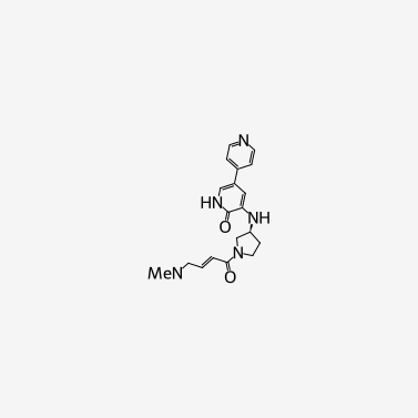 CNC/C=C/C(=O)N1CC[C@H](Nc2cc(-c3ccncc3)c[nH]c2=O)C1